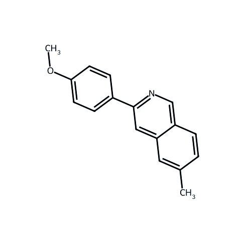 COc1ccc(-c2cc3cc(C)ccc3cn2)cc1